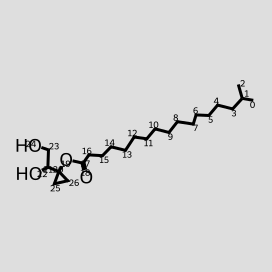 CC(C)CCCCCCCCCCCCCCC(=O)OC1(C(O)CO)CC1